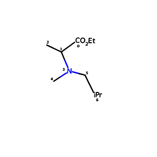 CCOC(=O)C(C)N(C)CC(C)C